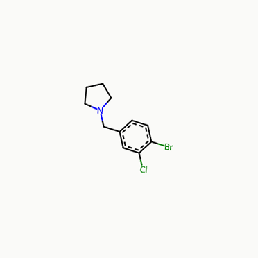 Clc1cc(CN2CCCC2)ccc1Br